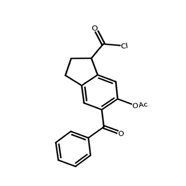 CC(=O)Oc1cc2c(cc1C(=O)c1ccccc1)CCC2C(=O)Cl